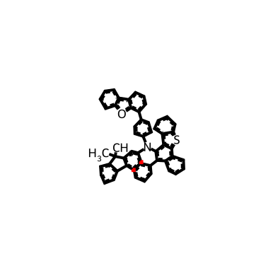 CC1(C)c2ccccc2-c2ccc(N(c3ccc(-c4cccc5c4oc4ccccc45)cc3)c3c(-c4ccccc4)c4ccccc4c4sc5ccccc5c34)cc21